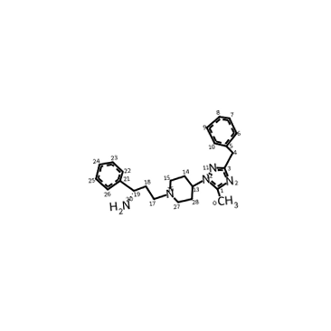 Cc1nc(Cc2ccccc2)nn1C1CCN(CC[C@H](N)c2ccccc2)CC1